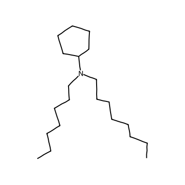 CCCCCCCCN(CCCCCCC)C1CCCCC1